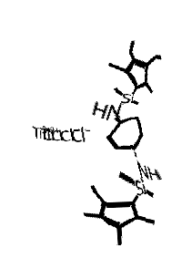 CC1=C(C)C(C)C([Si](C)(C)N[C@H]2CC[C@H](N[Si](C)(C)C3=C(C)C(C)=C(C)C3C)CC2)=C1C.[Cl-].[Cl-].[Cl-].[Cl-].[Ti+2].[Ti+2]